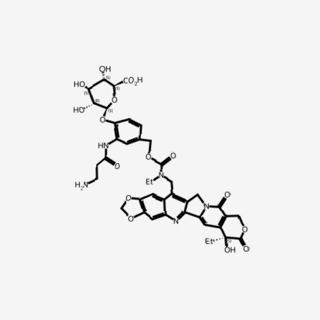 CCN(Cc1c2c(nc3cc4c(cc13)OCO4)-c1cc3c(c(=O)n1C2)COC(=O)[C@]3(O)CC)C(=O)OCc1ccc(O[C@@H]2O[C@H](C(=O)O)[C@@H](O)[C@H](O)[C@H]2O)c(NC(=O)CCN)c1